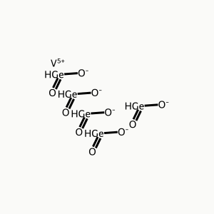 [O]=[GeH][O-].[O]=[GeH][O-].[O]=[GeH][O-].[O]=[GeH][O-].[O]=[GeH][O-].[V+5]